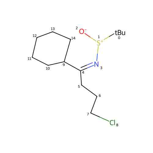 CC(C)(C)[S+]([O-])/N=C(/CCCCl)C1CCCCC1